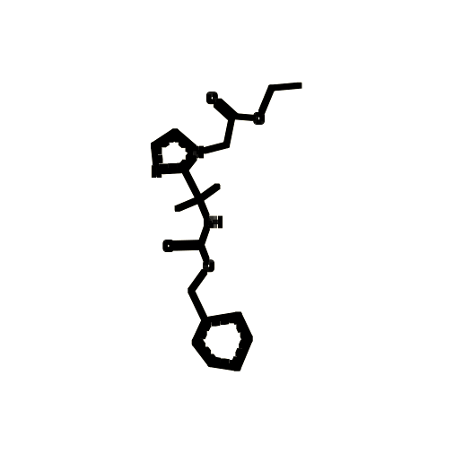 CCOC(=O)Cn1ccnc1C(C)(C)NC(=O)OCc1ccccc1